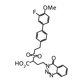 COc1ccc(-c2ccc(CCS(=O)(=O)C(CCn3nnc4ccccc4c3=O)C(=O)O)cc2)cc1F